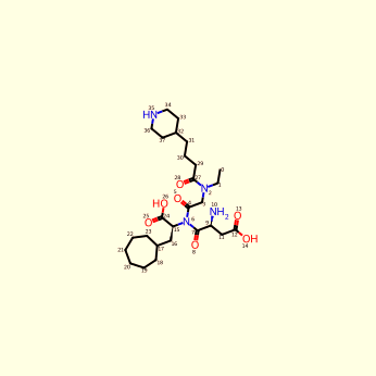 CCN(CC(=O)N(C(=O)[C@@H](N)CC(=O)O)[C@@H](CC1CCCCCC1)C(=O)O)C(=O)CCCC1CCNCC1